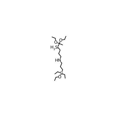 CCOC(C)(OCC)[SiH2]CCCNCCC[Si](CC)(CC)OCC